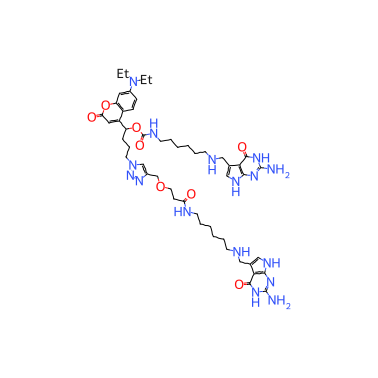 CCN(CC)c1ccc2c(C(CCCn3cc(COCCC(=O)NCCCCCCNCc4c[nH]c5nc(N)[nH]c(=O)c45)nn3)OC(=O)NCCCCCCNCc3c[nH]c4nc(N)[nH]c(=O)c34)cc(=O)oc2c1